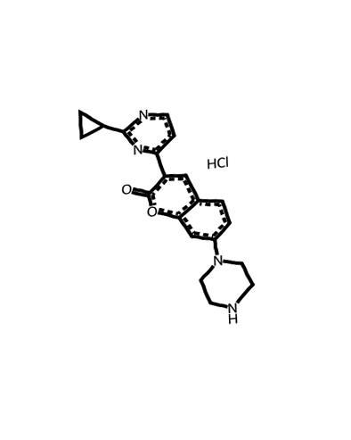 Cl.O=c1oc2cc(N3CCNCC3)ccc2cc1-c1ccnc(C2CC2)n1